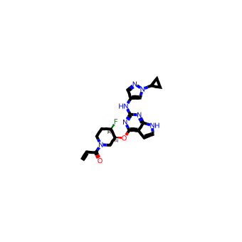 C=CC(=O)N1CC[C@@H](F)[C@@H](Oc2nc(Nc3cnn(C4CC4)c3)nc3[nH]ccc23)C1